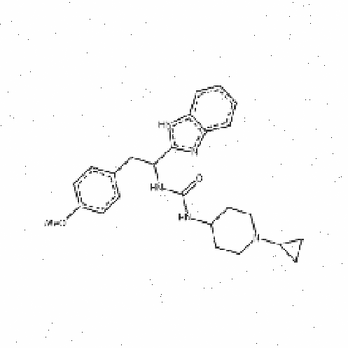 COc1ccc(CC(NC(=O)NC2CCN(C3CC3)CC2)c2nc3ccccc3[nH]2)cc1